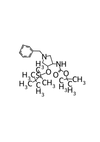 CC(C)(C)OC(=O)NC1CN(Cc2ccccc2)CC1O[Si](C)(C)C(C)(C)C